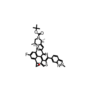 C[C@@H]1c2cc(-c3nc(-c4ccc5cn(C)nc5c4)c4scc(F)c4c3-c3c(F)cc(F)cc3C3CC3)nn2[C@@H](C)CN1C(=O)OC(C)(C)C